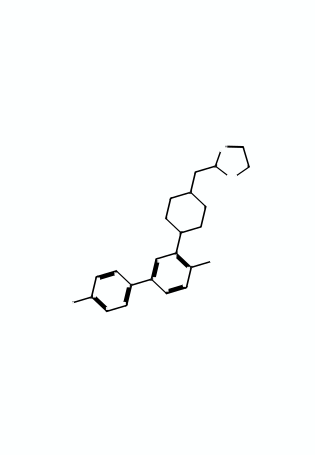 Cc1ccc(-c2ccc(Cl)cc2)cc1C1CCC(CC2OCCO2)CC1